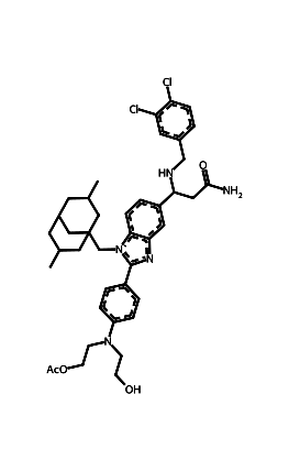 CC(=O)OCCN(CCO)c1ccc(-c2nc3cc(C(CC(N)=O)NCc4ccc(Cl)c(Cl)c4)ccc3n2CC23CC(C)CC(CC(C)C2)C3)cc1